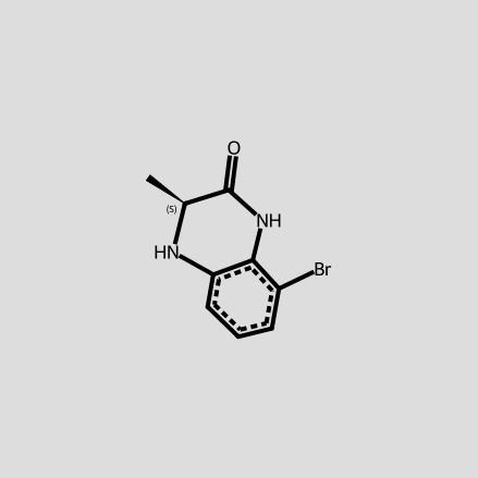 C[C@@H]1Nc2cccc(Br)c2NC1=O